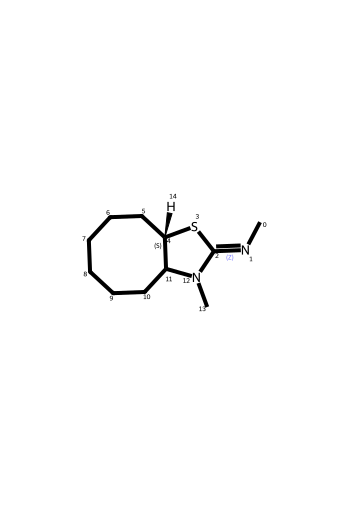 C/N=C1\S[C@H]2CCCCCCC2N1C